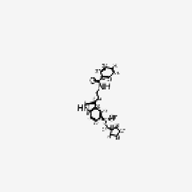 O=C(NCCc1c[nH]c2ccc([S+]([O-])CC3CCCC3)cc12)c1ccccc1